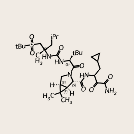 CC(C)C[C@@](C)(CS(=O)(=O)C(C)(C)C)NC(=O)N[C@H](C(=O)N1C[C@H]2[C@@H]([C@H]1C(=O)NC(CC1CC1)C(=O)C(N)=O)C2(C)C)C(C)(C)C